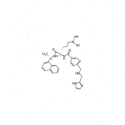 CCCN(CCC[C@H](NC(=O)c1ccc(CNCc2ncc[nH]2)cc1)C(=O)N[C@@H](C)c1cccc2ccccc12)C(C)C